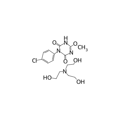 COc1nc(=O)n(-c2ccc(Cl)cc2)c(=O)[nH]1.OCCN(CCO)CCO